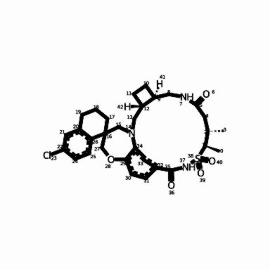 C[C@@H]1[C@@H](C)CC(=O)NC[C@@H]2CC[C@H]2CN2CC3(CCCc4cc(Cl)ccc43)COc3ccc(cc32)C(=O)NS1(=O)=O